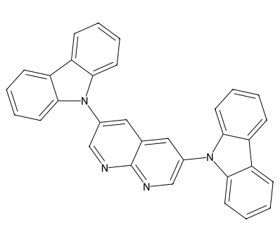 c1ccc2c(c1)c1ccccc1n2-c1cnc2ncc(-n3c4ccccc4c4ccccc43)cc2c1